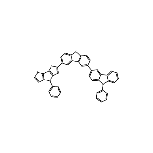 c1ccc(-n2c3ccccc3c3cc(-c4ccc5sc6ccc(-c7cc8c(s7)c7sccc7n8-c7ccccc7)cc6c5c4)ccc32)cc1